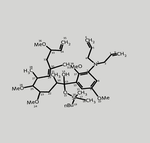 C=CCN(CC=C)c1cc(OC)cc(C(O)(O[Si](C)(C)CCCC)C(C)CC(OC)C(OC)C(C)C=C(C)CC(C=C)OC)c1OC